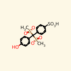 CS(=O)(=O)C(c1ccc(O)cc1)(c1ccc(S(=O)(=O)O)cc1)S(C)(=O)=O